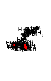 COc1c(Cl)cc(C(NC(=O)COCCOCC(=O)NCCNC(=O)C2CC(NC(=O)c3cc(O)nc(O)n3)C(OC3OC(C)C(O)C(O)C3O)C(OC3OC(CO)C(O)C(OC4(C(=O)O)CC(O)C(NC(C)=O)C([C@H](O)[C@H](O)CO)O4)C3OC(=O)c3ccccc3)C2)c2cc(Cl)c(OC)c(C(=O)OCc3ccccc3)c2)cc1C(=O)OCc1ccccc1